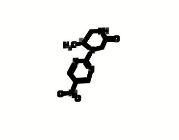 C[C@H]1CNC(=O)CN1c1ncc([N+](=O)[O-])cn1